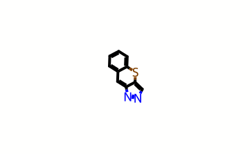 c1ccc2sc3cnnc-3cc2c1